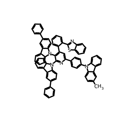 Cc1ccc2c(c1)c1ccccc1n2-c1ccc(-c2cc(-c3ccccc3-c3nc4ccccc4s3)c(-n3c4ccccc4c4cc(-c5ccccc5)ccc43)c(-n3c4ccccc4c4cc(-c5ccccc5)ccc43)n2)cc1